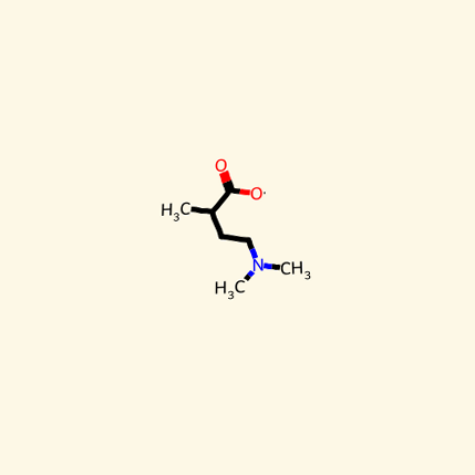 CC(CCN(C)C)C([O])=O